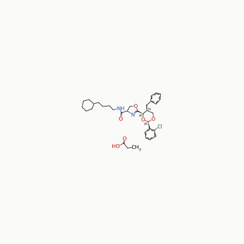 CCC(=O)O.O=C(NCCCCC1CCCCC1)C1COC([C@@H]2O[C@H](c3ccccc3Cl)OC[C@@H]2Cc2ccccc2)=N1